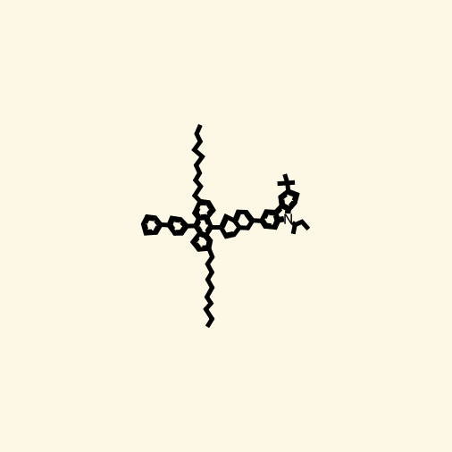 CCCCCCCCCCc1ccc2c(-c3ccc(-c4ccccc4)cc3)c3cc(CCCCCCCCCC)ccc3c(C3=CC4=CC=C(c5ccc6c(c5)c5cc(C(C)(C)C)ccc5n6C(C)CC)CC4C=C3)c2c1